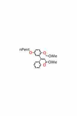 CCCCCOc1ccc(OCOC)c(C(=CC(=O)OC)c2ccccc2)c1